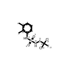 Cc1cccc(NS(=O)(=O)NSC(F)(Cl)Cl)c1C